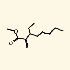 C=C(C(=O)OC)C(CC)CCCCC